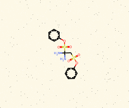 NC(N)(CS(=O)(=O)Oc1ccccc1)S(=O)(=O)Oc1ccccc1